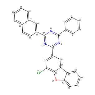 Clc1cc(-c2nc(-c3ccccc3)nc(-c3ccc4ccccc4c3)n2)cc2c1oc1ccccc12